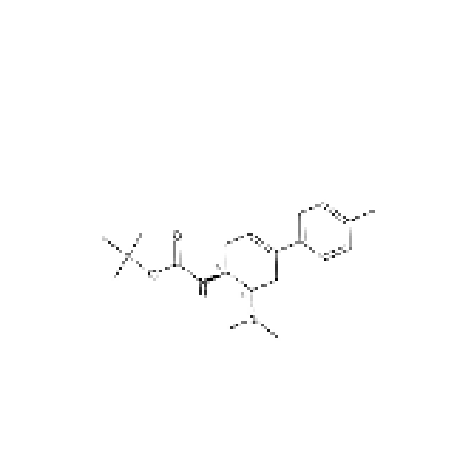 Cc1ccc(C2=CC[C@H](NC(=O)OC(C)(C)C)[C@@H](N(C)C)C2)cc1